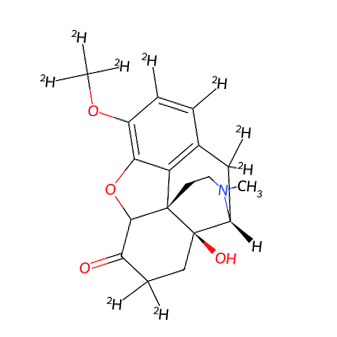 [2H]c1c([2H])c2c3c(c1OC([2H])([2H])[2H])OC1C(=O)C([2H])([2H])C[C@@]4(O)[C@H](N(C)CC[C@]314)C2([2H])[2H]